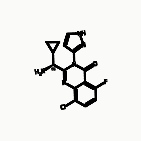 N[C@H](c1nc2c(Cl)ccc(F)c2c(=O)n1-c1cc[nH]n1)C1CC1